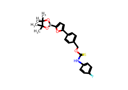 CC1(C)OB(c2ccc(-c3ccc(COC(=S)Nc4ccc(F)cc4)cc3)o2)OC1(C)C